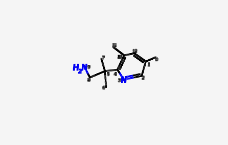 Cc1cnc(C(C)(C)CN)c(C)c1